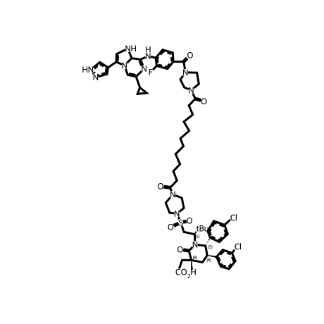 CC(C)(C)[C@@H](CS(=O)(=O)N1CCN(C(=O)CCCCCCCCCCC(=O)N2CCN(C(=O)c3ccc(NC4=NC(C5CC5)=CN5C(c6cn[nH]c6)=CNC45)c(F)c3)CC2)CC1)N1C(=O)[C@@](C)(CC(=O)O)C[C@H](c2cccc(Cl)c2)[C@H]1c1ccc(Cl)cc1